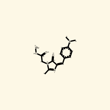 CC1=N/C(=C/c2ccc(N(C)C)cc2)C(=O)N1CC(=O)OC(C)(C)C